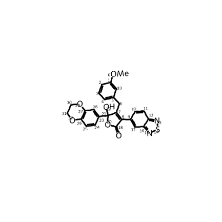 COc1cccc(CC2=C(c3ccc4nsnc4c3)C(=O)OC2(O)c2ccc3c(c2)OCCO3)c1